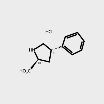 Cl.O=C(O)[C@@H]1C[C@@H](c2ccccc2)CN1